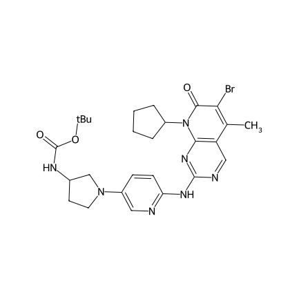 Cc1c(Br)c(=O)n(C2CCCC2)c2nc(Nc3ccc(N4CCC(NC(=O)OC(C)(C)C)C4)cn3)ncc12